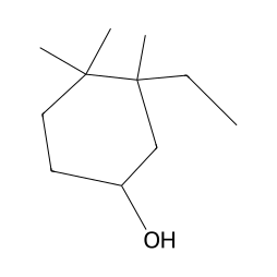 CCC1(C)CC(O)CCC1(C)C